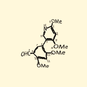 COc1cc(OC)c(-c2cc(C=O)c(OC)cc2OC)cn1